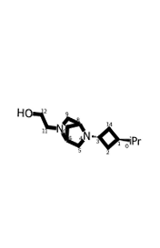 CC(C)[C@H]1C[C@H](N2CC3CC2CN3CCO)C1